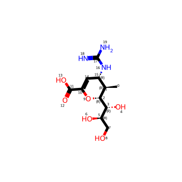 C[C@H]1[C@H]([C@H](O)[C@H](O)CO)OC(C(=O)O)=C[C@@H]1NC(=N)N